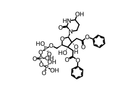 O=C(C[C@@]1(O)[C@@H](COP(=O)(O)OP(=O)(O)OP(=O)(O)O)O[C@@H](N2CCC(O)NC2=O)[C@@]1(O)CC(=O)Oc1ccccc1)Oc1ccccc1